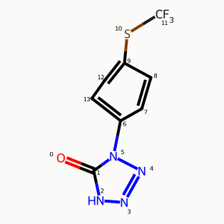 O=c1[nH]nnn1-c1ccc(SC(F)(F)F)cc1